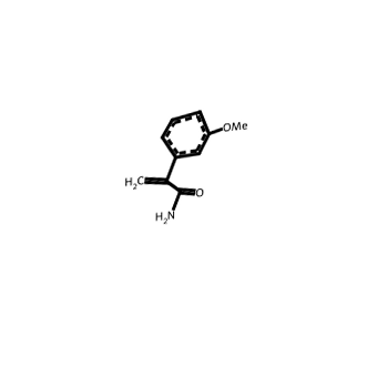 C=C(C(N)=O)c1cccc(OC)c1